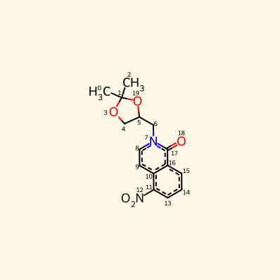 CC1(C)OCC(Cn2ccc3c([N+](=O)[O-])cccc3c2=O)O1